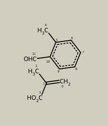 C=C(C)C(=O)O.Cc1ccccc1C=O